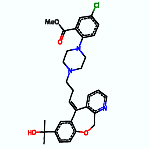 COC(=O)c1cc(Cl)ccc1N1CCN(CC/C=C2/c3cc(C(C)(C)O)ccc3OCc3ncccc32)CC1